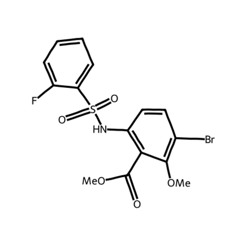 COC(=O)c1c(NS(=O)(=O)c2ccccc2F)ccc(Br)c1OC